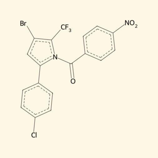 O=C(c1ccc([N+](=O)[O-])cc1)n1c(-c2ccc(Cl)cc2)cc(Br)c1C(F)(F)F